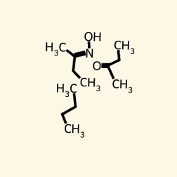 CCC(C)=NO.CCC(C)=O.CCCC